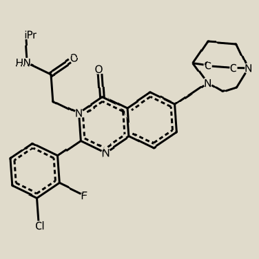 CC(C)NC(=O)Cn1c(-c2cccc(Cl)c2F)nc2ccc(N3CCN4CCC3CC4)cc2c1=O